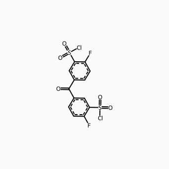 O=C(c1ccc(F)c(S(=O)(=O)Cl)c1)c1ccc(F)c(S(=O)(=O)Cl)c1